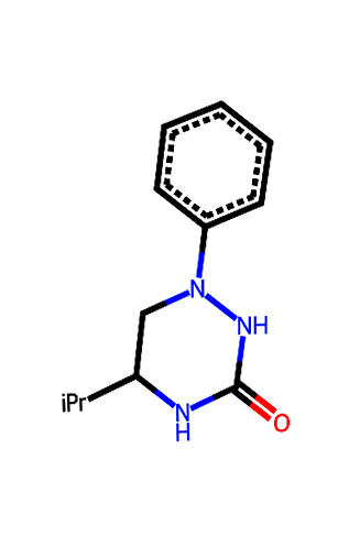 CC(C)C1CN(c2ccccc2)NC(=O)N1